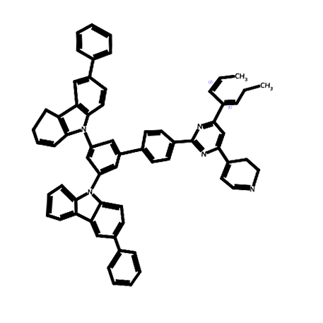 C/C=C\C(=C/CC)c1cc(C2=CC=NCC2)nc(-c2ccc(-c3cc(-n4c5c(c6cc(-c7ccccc7)ccc64)CCC=C5)cc(-n4c5ccccc5c5cc(-c6ccccc6)ccc54)c3)cc2)n1